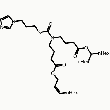 CCCCCC/C=C\COC(=O)CCCN(CCCC(=O)OC(CCCCCC)CCCCCC)C(=O)SCCCn1ccnc1